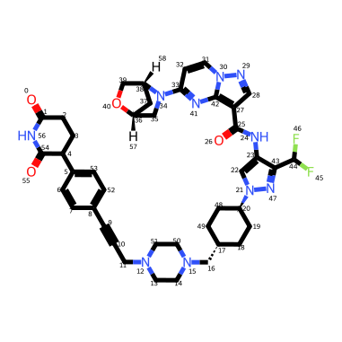 O=C1CCC(c2ccc(C#CCN3CCN(C[C@H]4CC[C@H](n5cc(NC(=O)c6cnn7ccc(N8C[C@H]9C[C@@H]8CO9)nc67)c(C(F)F)n5)CC4)CC3)cc2)C(=O)N1